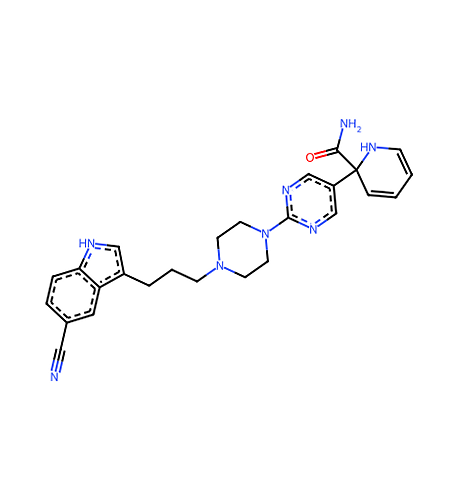 N#Cc1ccc2[nH]cc(CCCN3CCN(c4ncc(C5(C(N)=O)C=CC=CN5)cn4)CC3)c2c1